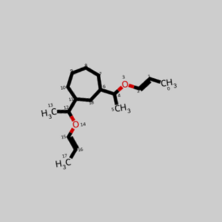 CC=COC(C)C1CCCCC(C(C)OC=CC)C1